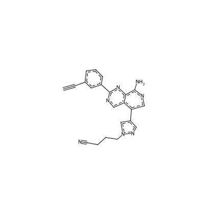 C#Cc1cccc(-c2ncc3c(-c4cnn(CCCC#N)c4)cnc(N)c3n2)c1